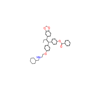 CCC(=C(c1ccc(OCCNCC2CCCCC2)cc1)c1ccc(OC(=O)c2ccccc2)cc1)c1ccc2c(c1)OCO2